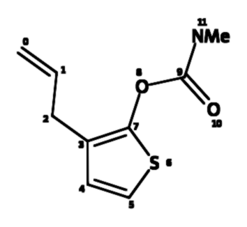 C=CCc1ccsc1OC(=O)NC